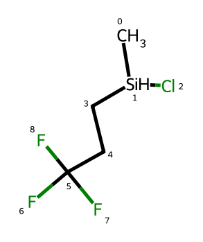 C[SiH](Cl)CCC(F)(F)F